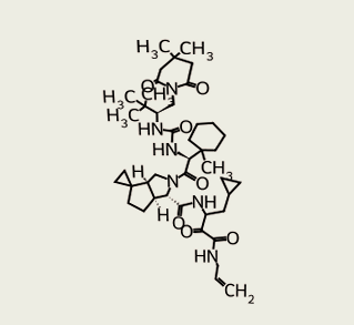 C=CCNC(=O)C(=O)C(CC1CC1)NC(=O)[C@@H]1[C@H]2CCC3(CC3)[C@H]2CN1C(=O)[C@@H](NC(=O)N[C@H](CN1C(=O)CC(C)(C)CC1=O)C(C)(C)C)C1(C)CCCCC1